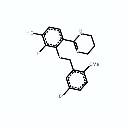 COc1ccc(Br)cc1CSc1c(C2=NCCCN2)ccc(C)c1F